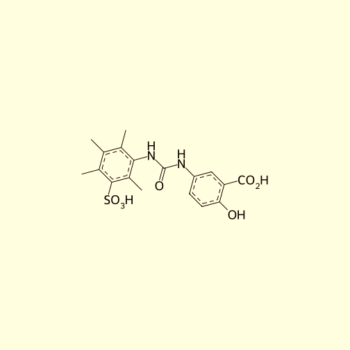 Cc1c(C)c(NC(=O)Nc2ccc(O)c(C(=O)O)c2)c(C)c(S(=O)(=O)O)c1C